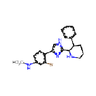 O=C(O)Nc1ccc(-c2c[nH]c(C3NCCCC3c3ccccc3)n2)c(Br)c1